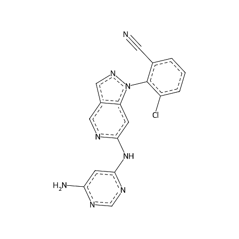 N#Cc1cccc(Cl)c1-n1ncc2cnc(Nc3cc(N)ncn3)cc21